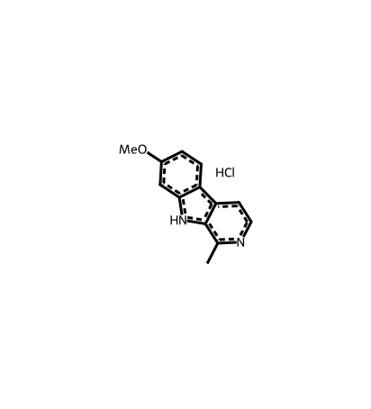 COc1ccc2c(c1)[nH]c1c(C)nccc12.Cl